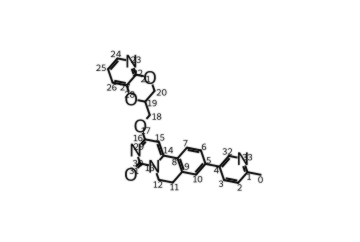 Cc1ccc(-c2ccc3c(c2)CCn2c-3cc(OCC3COc4ncccc4O3)nc2=O)cn1